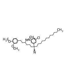 CCCCCCCCCCCCC(C#N)(CCCC(CCc1ccc(OC)c(OC)c1)N=NC)c1cccc(Cl)c1